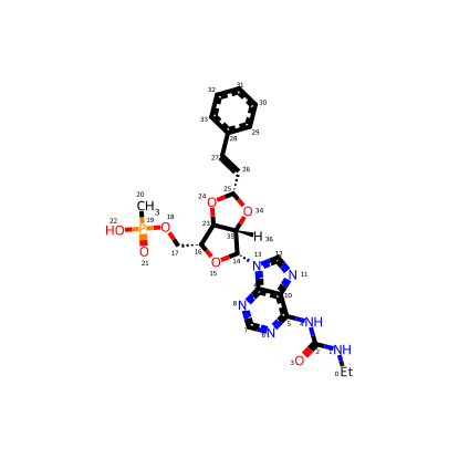 CCNC(=O)Nc1ncnc2c1ncn2[C@@H]1O[C@H](COP(C)(=O)O)C2O[C@H](/C=C/c3ccccc3)O[C@@H]21